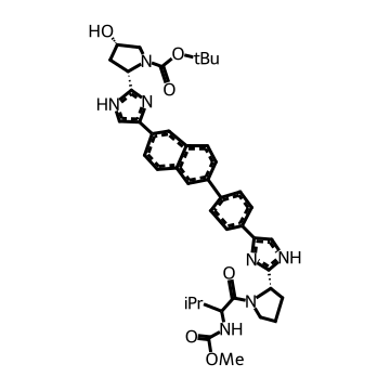 COC(=O)NC(C(=O)N1CCC[C@H]1c1nc(-c2ccc(-c3ccc4cc(-c5c[nH]c([C@@H]6C[C@H](O)CN6C(=O)OC(C)(C)C)n5)ccc4c3)cc2)c[nH]1)C(C)C